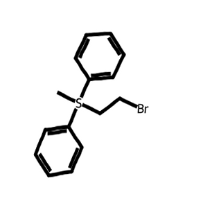 CS(CCBr)(c1ccccc1)c1ccccc1